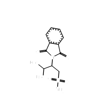 CC(C)C(CS(N)(=O)=O)N1C(=O)c2ccccc2C1=O